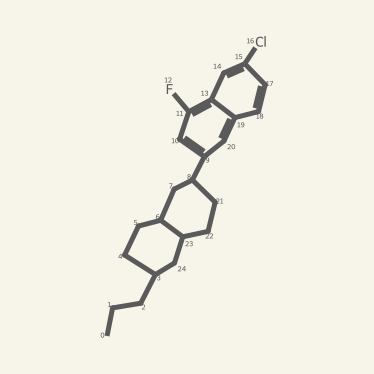 CCCC1CCC2CC(c3cc(F)c4cc(Cl)ccc4c3)CCC2C1